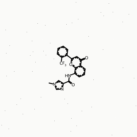 Cn1cnc(C(=O)Nc2cccc3c(=O)cc(-c4ccccc4C(F)(F)F)oc23)c1